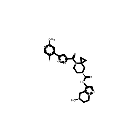 COc1cc(-c2cc(C(=O)N3CC[C@H](C(=O)Nc4cnn5c4C[C@H](O)CC5)CC34CC4)n[nH]2)c(F)cn1